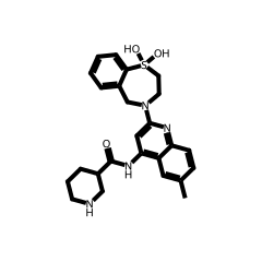 Cc1ccc2nc(N3CCS(O)(O)c4ccccc4C3)cc(NC(=O)C3CCCNC3)c2c1